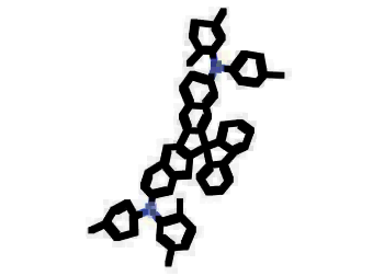 Cc1ccc(N(c2ccc3cc4c(cc3c2)C2(c3ccccc3-c3ccccc32)c2cc3cc(N(c5ccc(C)cc5)c5cc(C)ccc5C)ccc3cc2-4)c2cc(C)ccc2C)cc1